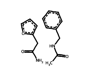 CC(=O)NCc1ccccc1.NC(=O)Cc1ccco1